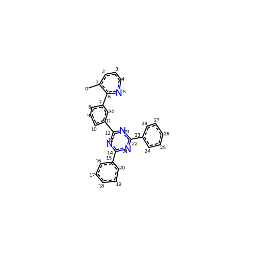 Cc1cccnc1-c1cccc(-c2nc(-c3ccccc3)nc(-c3ccccc3)n2)c1